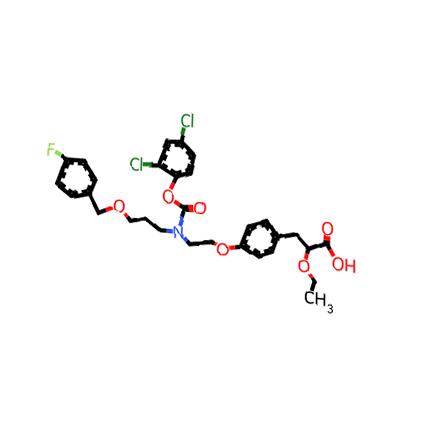 CCOC(Cc1ccc(OCCN(CCCOCc2ccc(F)cc2)C(=O)Oc2ccc(Cl)cc2Cl)cc1)C(=O)O